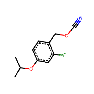 CC(C)Oc1ccc(COC#N)c(F)c1